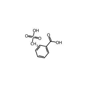 CS(=O)(=O)O.O=C(O)c1ccccc1